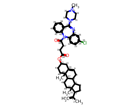 C=C(C)C1CCC2C3CC=C4CC(OC(=O)CCC(=O)N5c6ccc(Cl)cc6N=C(N6CCN(C)CC6)c6ccccc65)CCC4(C)C3CCC12C